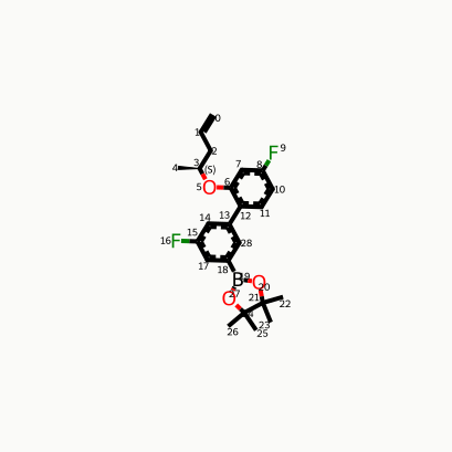 C=CC[C@H](C)Oc1cc(F)ccc1-c1cc(F)cc(B2OC(C)(C)C(C)(C)O2)c1